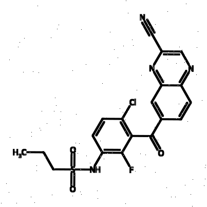 CCCS(=O)(=O)Nc1ccc(Cl)c(C(=O)c2ccc3ncc(C#N)nc3c2)c1F